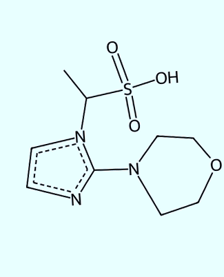 CC(n1ccnc1N1CCOCC1)S(=O)(=O)O